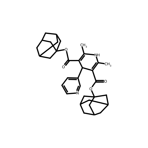 CC1=C(C(=O)OC23CC4CC(CC(C4)C2)C3)C(c2cccnc2)C(C(=O)OC23CC4CC(CC(C4)C2)C3)=C(C)N1